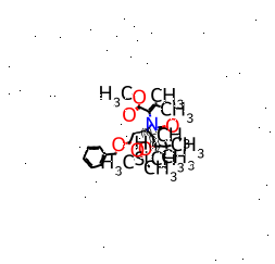 COC(=O)C(=C(C)C)N1C(=O)[C@H]([C@@](C)(O[SiH](C)C)C(C)(C)C)[C@H]1CC(=O)OCc1ccccc1